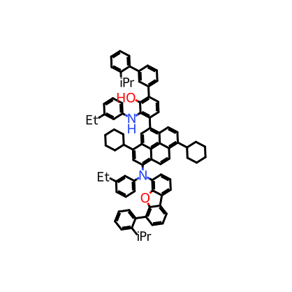 CCc1cccc(Nc2c(-c3cc4c(C5CCCCC5)cc(N(c5cccc(CC)c5)c5cccc6c5oc5c(-c7ccccc7C(C)C)cccc56)c5ccc6c(C7CCCCC7)ccc3c6c45)ccc(-c3cccc(-c4ccccc4C(C)C)c3)c2O)c1